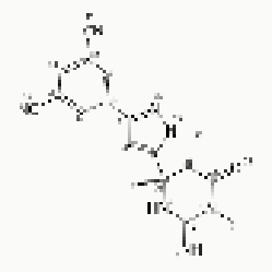 CN1C(=N)N[C@](C)(c2cc(-c3cc(C#N)cc(C#N)c3)nn2C)CC1=O